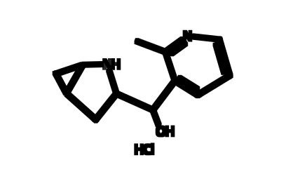 Cc1ncccc1C(O)C1CC2CC2N1.Cl